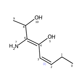 CC/C=C\C(O)=C(N)C(C)O